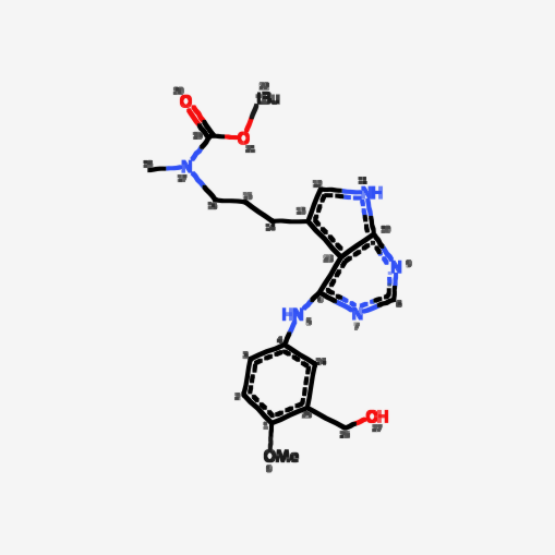 COc1ccc(Nc2ncnc3[nH]cc(CCCN(C)C(=O)OC(C)(C)C)c23)cc1CO